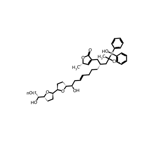 CCCCCCCC[C@@H](O)[C@H]1CC[C@H]([C@H]2CC[C@H]([C@H](O)C/C=C/CCC[C@H](CC3=C[C@H](C)OC3=O)CC(C)(C)[Si](O)(c3ccccc3)c3ccccc3)O2)O1